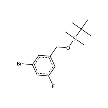 CC(C)(C)[Si](C)(C)OCc1cc(F)cc(Br)c1